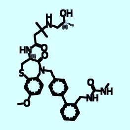 CNC(=O)NCc1ccccc1-c1ccc(CN2C(=O)[C@H](NC(=O)CC(C)(C)NC[C@@H](C)O)CSc3cc(OC)ccc32)cc1